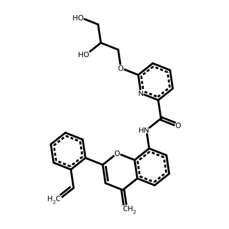 C=Cc1ccccc1C1=CC(=C)c2cccc(NC(=O)c3cccc(OCC(O)CO)n3)c2O1